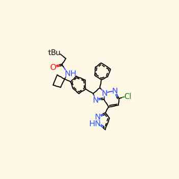 CC(C)(C)CC(=O)NC1(c2ccc(C3N=C4C(c5cc[nH]n5)=CC(Cl)=NN4C3c3ccccc3)cc2)CCC1